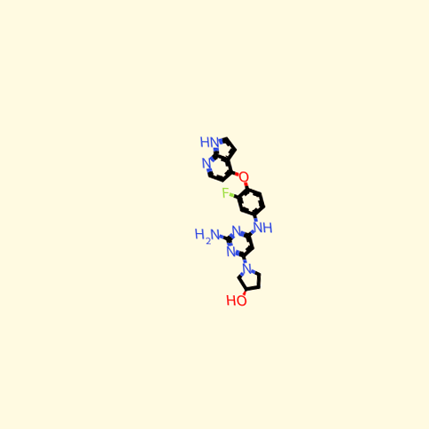 Nc1nc(Nc2ccc(Oc3ccnc4[nH]ccc34)c(F)c2)cc(N2CC[C@@H](O)C2)n1